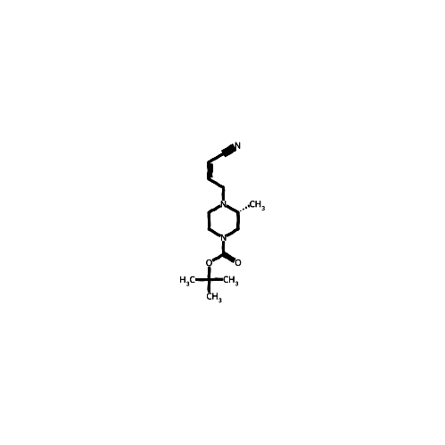 C[C@@H]1CN(C(=O)OC(C)(C)C)CCN1C/C=C\C#N